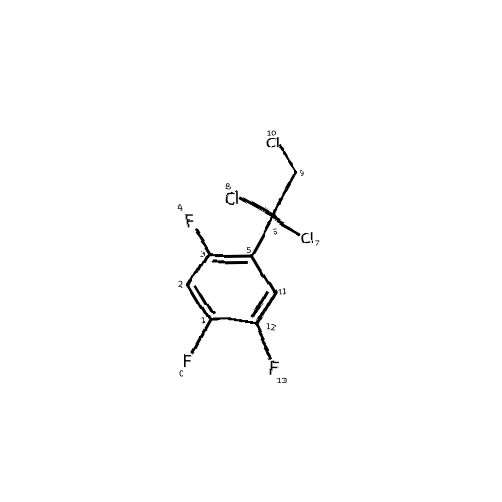 Fc1cc(F)c(C(Cl)(Cl)CCl)cc1F